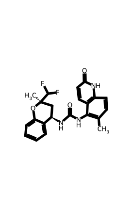 Cc1ccc2[nH]c(=O)ccc2c1NC(=O)N[C@@H]1C[C@](C)(C(F)F)Oc2ccccc21